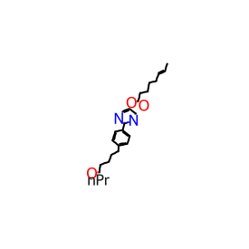 C/C=C/CCCCC(=O)Oc1cnc(-c2ccc(CCCCCOCCC)cc2)nc1